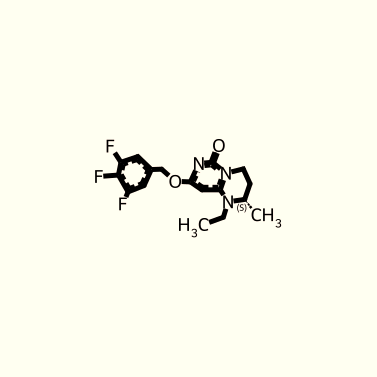 CCN1c2cc(OCc3cc(F)c(F)c(F)c3)nc(=O)n2CC[C@@H]1C